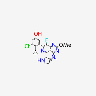 COc1nc(N(C)[C@@H]2CCNC2)c2cnc(-c3cc(O)cc(Cl)c3C3CC3)c(F)c2n1